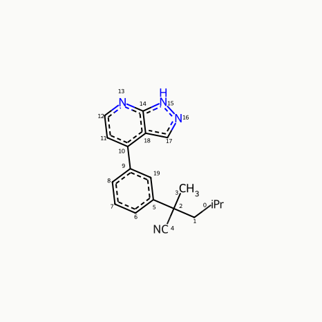 CC(C)CC(C)(C#N)c1cccc(-c2ccnc3[nH]ncc23)c1